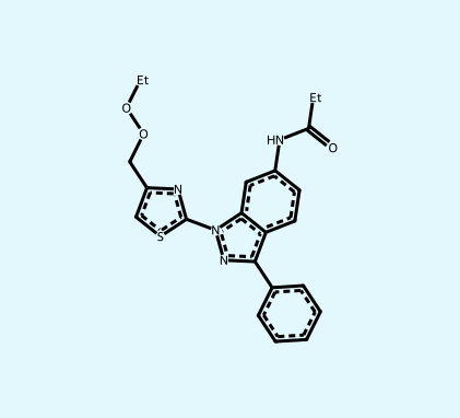 CCOOCc1csc(-n2nc(-c3ccccc3)c3ccc(NC(=O)CC)cc32)n1